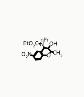 CCCN(C(=O)OCC)C1c2cc([N+](=O)[O-])ccc2OC(C)C1O